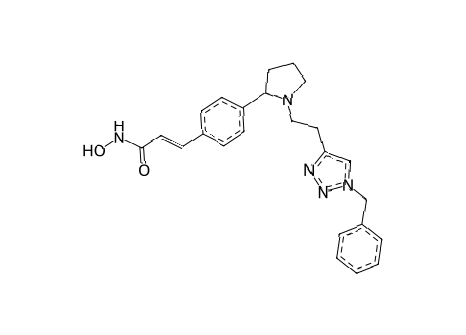 O=C(C=Cc1ccc(C2CCCN2CCc2cn(Cc3ccccc3)nn2)cc1)NO